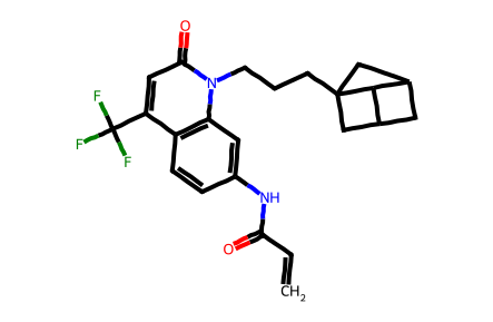 C=CC(=O)Nc1ccc2c(C(F)(F)F)cc(=O)n(CCCC34CC5CC(C3)C54)c2c1